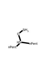 CCCCC[SiH](CCCCC)O[SiH3]